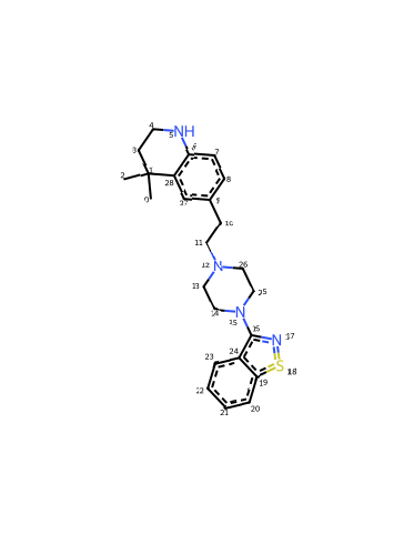 CC1(C)CCNc2ccc(CCN3CCN(c4nsc5ccccc45)CC3)cc21